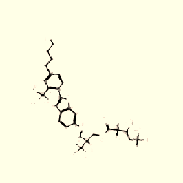 CCCCCc1ccc(-c2cc3ccc(OCC(C)(COC(=O)C(C)(C)C(N)CC(C)(C)N)C(F)(F)F)cc3o2)c(C(F)(F)F)c1